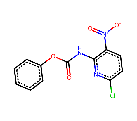 O=C(Nc1nc(Cl)ccc1[N+](=O)[O-])Oc1ccccc1